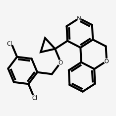 Clc1ccc(Cl)c(COC2(c3cncc4c3-c3ccccc3OC4)CC2)c1